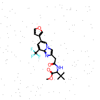 COC(=O)C(NC(=O)Cc1cn2cc(-c3ccoc3)cc(C(F)(F)F)c2n1)C(C)(C)C